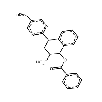 CCCCCCCCCCc1cnc(C2CC(C(=O)O)C(OC(=O)c3ccccc3)c3ccccc32)nc1